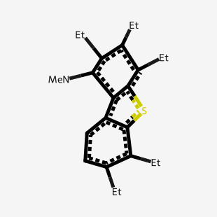 CCc1ccc2c(sc3c(CC)c(CC)c(CC)c(NC)c32)c1CC